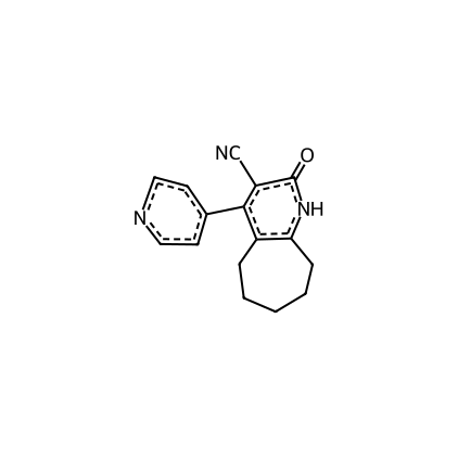 N#Cc1c(-c2ccncc2)c2c([nH]c1=O)CCCCC2